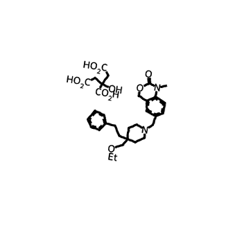 CCOCC1(CCc2ccccc2)CCN(Cc2ccc3c(c2)COC(=O)N3C)CC1.O=C(O)CC(O)(CC(=O)O)C(=O)O